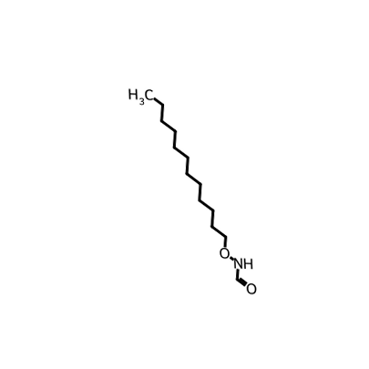 CCCCCCCCCCCCONC=O